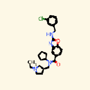 CCN1CCC(CN(C(=O)c2ccc3oc(NCc4cccc(Cl)c4)nc3c2)C2CCCC2)C1